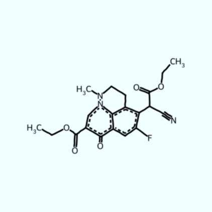 CCOC(=O)c1cn2c3c(c(C(C#N)C(=O)OCC)c(F)cc3c1=O)CCN2C